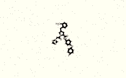 Cc1ccccc1CC1CC(C(=O)Nc2ccc(Oc3ccc(F)cc3)cc2)N(C(=O)Cn2cncn2)C1